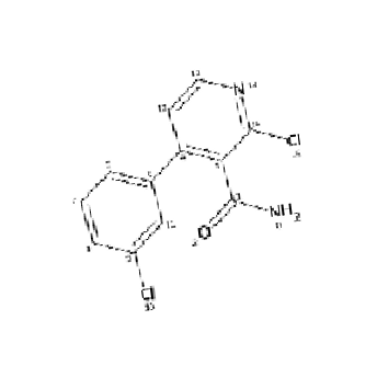 NC(=O)c1c(-c2cccc(Cl)c2)ccnc1Cl